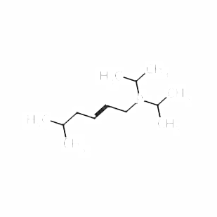 CC(C)CC=CCP(C(C)C)C(C)C